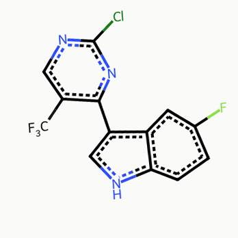 Fc1ccc2[nH]cc(-c3nc(Cl)ncc3C(F)(F)F)c2c1